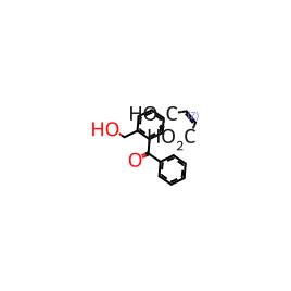 O=C(O)/C=C\C(=O)O.O=C(c1ccccc1)c1ccccc1CO